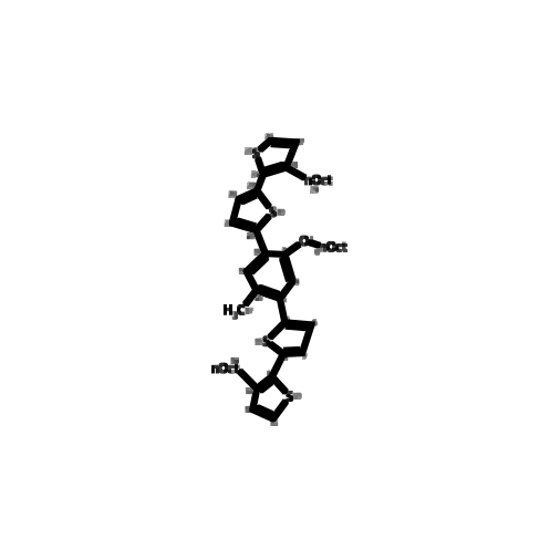 CCCCCCCCOc1cc(-c2ccc(-c3sccc3CCCCCCCC)s2)c(C)cc1-c1ccc(-c2sccc2CCCCCCCC)s1